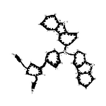 N#Cc1cc(C#N)cc(-c2ccc(N(c3ccc4sc5ccccc5c4c3)c3ccc4sc5ccccc5c4c3)cc2)c1